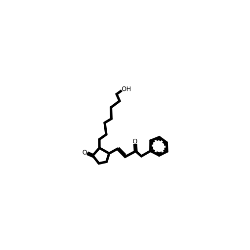 O=C(C=CC1CCC(=O)C1CCCCCCCO)Cc1ccccc1